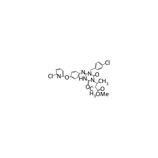 COC(=O)[C@H](C)[C@H](C)n1c(=O)[nH]/c(=N\c2ccc(Oc3cccc(Cl)n3)cc2)n(Cc2ccc(Cl)cc2)c1=O